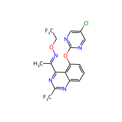 CC(=NOCC(F)(F)F)c1nc(C(F)(F)F)nc2cccc(Oc3ncc(Cl)cn3)c12